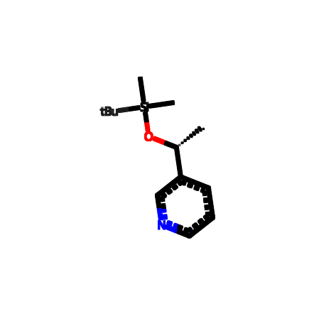 [CH2][C@@H](O[Si](C)(C)C(C)(C)C)c1cccnc1